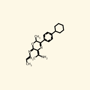 CC=C/N=C1/OC(C)C(c2ccc(C3CCCCC3)cc2)=N/C1=C(/C)N